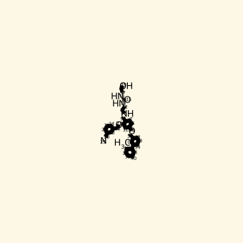 Cc1c(COc2ccc(CNCCNC(=O)NCCO)c(OCc3cccc(C#N)c3)c2)cccc1-c1ccccc1